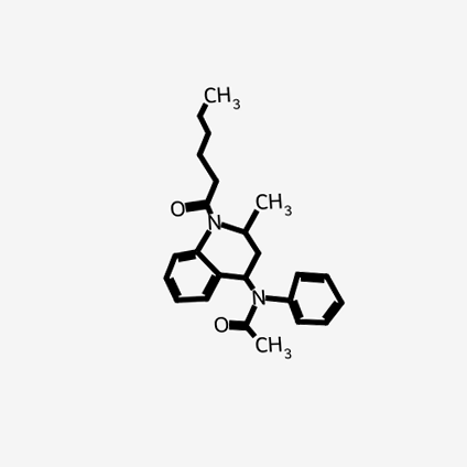 CCCCCC(=O)N1c2ccccc2C(N(C(C)=O)c2ccccc2)CC1C